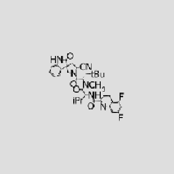 CC(C)[C@H](NC(=O)c1ccc2c(F)cc(F)cc2n1)C(=O)N(C)[C@@H](CC(C)(C)C)C(=O)N1C[C@]2(C[C@H]1C#N)C(=O)Nc1ccccc12